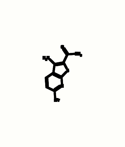 CCCc1ccc2c(N)c(C(N)=O)sc2n1